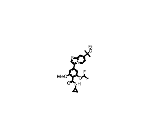 CCOC(C)(C)c1ccn2c(-c3cc(OC)c(C(=O)NC4CC4)c(OC(F)F)c3)cnc2c1